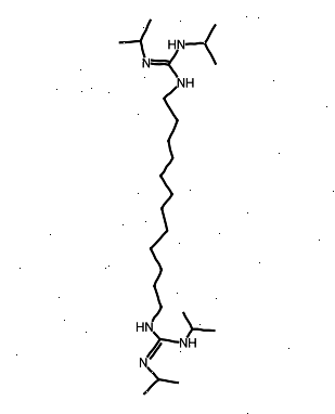 CC(C)N=C(NCCCCCCCCCCCCNC(=NC(C)C)NC(C)C)NC(C)C